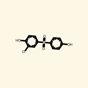 O=S(=O)(c1ccc(O)cc1)c1ccc(O)c(Cl)c1